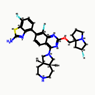 Nc1nc2c(-c3ccc4c(N5C[C@H]6CCNCC[C@H]6C5)nc(OC[C@@]56CCCN5C[C@H](F)C6)nc4c3F)ccc(F)c2s1